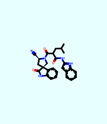 CC(C)CC(C(=O)Nc1cc2ccccc2[nH]1)C(=O)N1C[C@]2(C[C@H]1C#N)C(=O)Nc1ccccc12